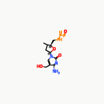 CC1C[C@H](n2cc(CO)c(N)nc2=O)O[C@@H]1CPPP=O